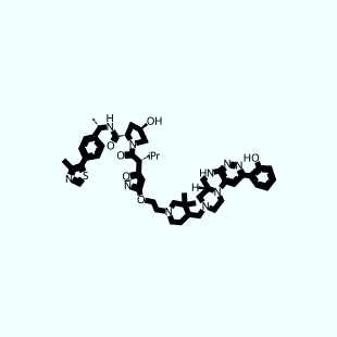 Cc1ncsc1-c1ccc([C@H](C)NC(=O)[C@@H]2C[C@@H](O)CN2C(=O)[C@@H](c2cc(OCCN3CCC(CN4CCN5c6cc(-c7ccccc7O)nnc6NC[C@H]5C4)C(C)(C)C3)no2)C(C)C)cc1